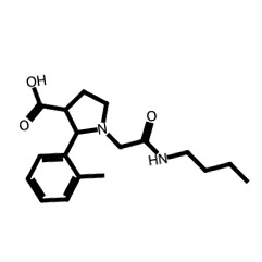 CCCCNC(=O)CN1CCC(C(=O)O)C1c1ccccc1C